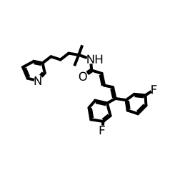 CC(C)(CCCc1cccnc1)NC(=O)C=CC=C(c1cccc(F)c1)c1cccc(F)c1